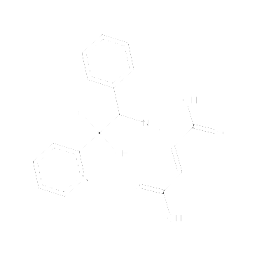 CC(C)(c1ccccn1)C(N)c1ccccc1.O=C(O)C=CC(=O)O